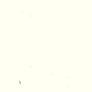 Cn1ccc(-c2ccc(Cc3cc(C(=O)N[C@H]4CC[C@@H]4O)nc(-n4cccn4)c3)cc2)n1